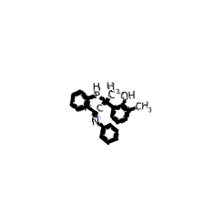 Cc1cccc(C(C)(C)Pc2ccccc2/C=N/c2ccccc2)c1O